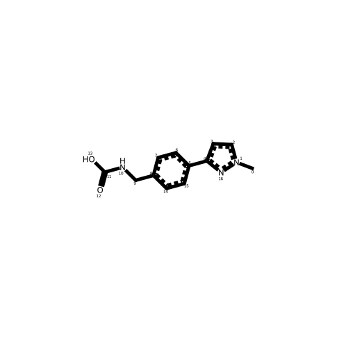 Cn1ccc(-c2ccc(CNC(=O)O)cc2)n1